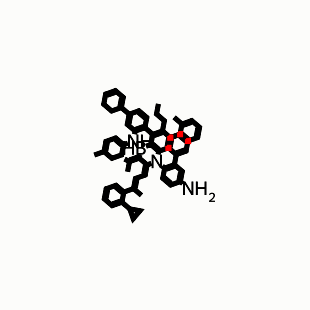 CCCc1c(-c2ccccc2C)cc2c(c1-c1ccc(C3=CC=CCC3)cc1NC1=CC=C(C)CC1)BC(=C(C)C)/C(=C\C=C(/C)c1ccccc1C1CC1)N2c1ccc(N)cc1-c1ccccc1